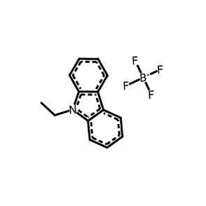 CCn1c2ccccc2c2ccccc21.F[B-](F)(F)F